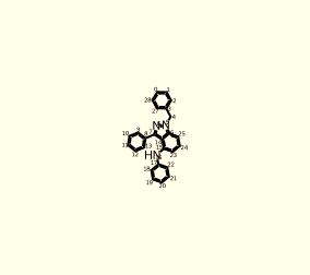 c1ccc(Cn2nc(-c3ccccc3)c3c(Nc4ccccc4)cccc32)cc1